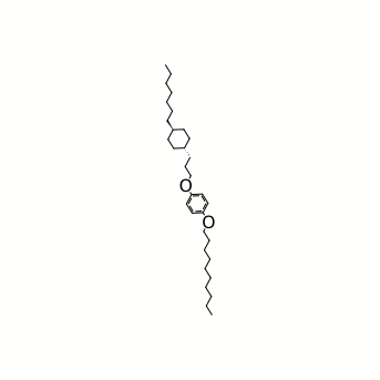 CCCCCCCCCCOc1ccc(OCCC[C@H]2CC[C@H](CCCCCCC)CC2)cc1